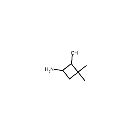 CC1(C)CC(N)C1O